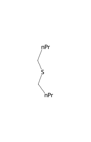 [CH2]CCCSCCCC